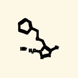 Br.Cn1nnc(Br)c1COCc1ccccc1